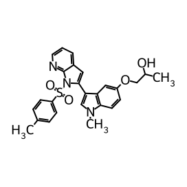 Cc1ccc(S(=O)(=O)n2c(-c3cn(C)c4ccc(OCC(C)O)cc34)cc3cccnc32)cc1